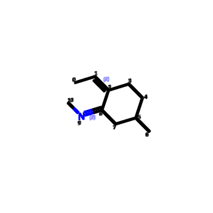 C/C=C1/CCC(C)C/C1=N/C